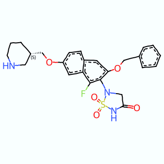 O=C1CN(c2c(OCc3ccccc3)cc3ccc(OC[C@H]4CCCNC4)cc3c2F)S(=O)(=O)N1